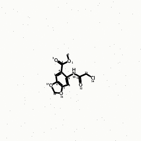 COC(=O)c1cc2c(cc1NC(=O)CCl)OCO2